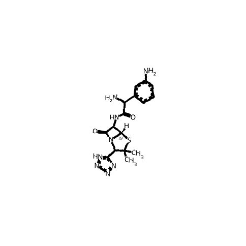 CC1(C)S[C@H]2C(NC(=O)C(N)c3cccc(N)c3)C(=O)N2C1c1nnn[nH]1